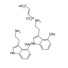 CC(=O)Oc1cccc2[nH]cc(CCN)c12.CC(=O)Oc1cccc2[nH]cc(CCN)c12.O=C(O)C=CC(=O)O